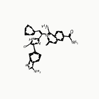 Cc1cc2cc(C(N)=O)ccc2c(N)[n+]1C(=Cc1ccccc1)c1nc(-c2ccc3c(N)n[nH]c3c2)c(Cl)[nH]1